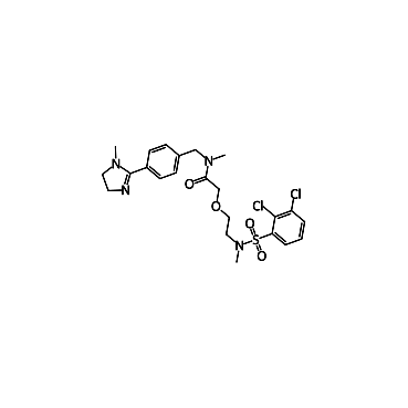 CN(Cc1ccc(C2=NCCN2C)cc1)C(=O)COCCN(C)S(=O)(=O)c1cccc(Cl)c1Cl